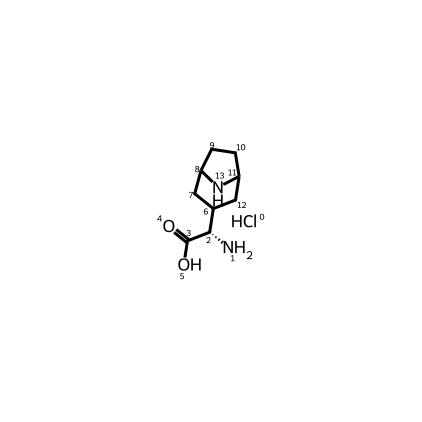 Cl.N[C@H](C(=O)O)C1CC2CCC(C1)N2